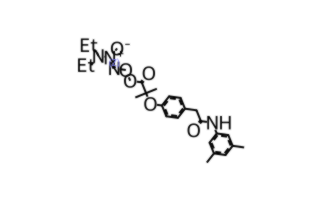 CCN(CC)/[N+]([O-])=N/OOC(=O)C(C)(C)Oc1ccc(CC(=O)Nc2cc(C)cc(C)c2)cc1